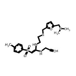 C#CCN/C(=C/S(=O)(=O)c1ccc(C)cc1)NCCSCc1ccc(CN(C)C)o1